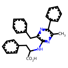 Cc1nc(NC(Cc2ccccc2)C(=O)O)c(Cc2ccccc2)nc1-c1ccccc1